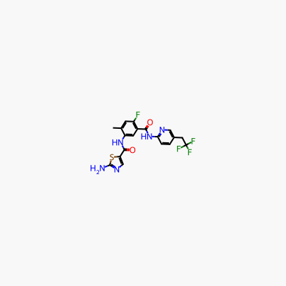 Cc1cc(F)c(C(=O)Nc2ccc(CC(F)(F)F)cn2)cc1NC(=O)c1cnc(N)s1